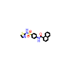 O=C(Nc1ccc(S(=O)(=O)Nc2nccs2)cc1)c1cccc2ccccc12